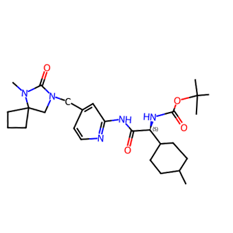 CC1CCC([C@H](NC(=O)OC(C)(C)C)C(=O)Nc2cc(CN3CC4(CCC4)N(C)C3=O)ccn2)CC1